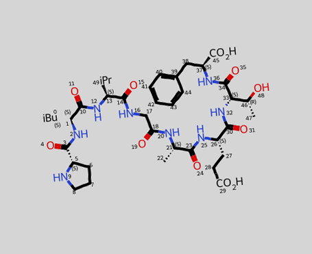 CC[C@H](C)[C@H](NC(=O)[C@@H]1CCCN1)C(=O)N[C@H](C(=O)NCC(=O)N[C@@H](C)C(=O)N[C@@H](CCC(=O)O)C(=O)N[C@H](C(=O)N[C@@H](Cc1ccccc1)C(=O)O)[C@@H](C)O)C(C)C